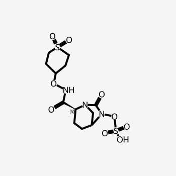 O=C(NOC1CCS(=O)(=O)CC1)[C@@H]1CCC2CN1C(=O)N2OS(=O)(=O)O